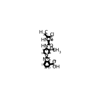 CCc1[nH]c(C(=O)NC2CCN(c3nc4cccc(C(=O)O)c4s3)CC2OC)nc1Cl